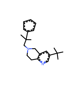 CC(C)(C)c1cnc2c(c1)CN(CC(C)(C)c1ccccc1)CC2